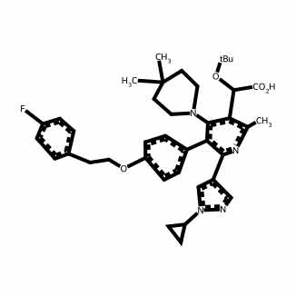 Cc1nc(-c2cnn(C3CC3)c2)c(-c2ccc(OCCc3ccc(F)cc3)cc2)c(N2CCC(C)(C)CC2)c1C(OC(C)(C)C)C(=O)O